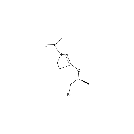 CC(=O)N1CCC(O[C@@H](C)CBr)=N1